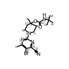 Cc1nc(N2CCC(C)(OC(=O)NC(C)(C)C)CC2)nc(C#N)c1Br